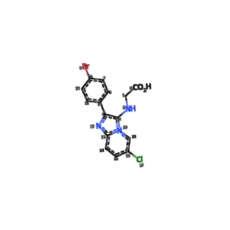 O=C(O)CNc1c(-c2ccc(Br)cc2)nc2ccc(Cl)cn12